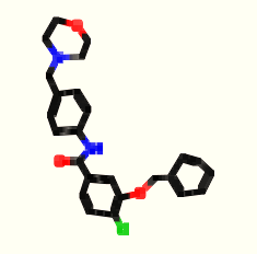 O=C(Nc1ccc(CN2CCOCC2)cc1)c1ccc(Cl)c(OCc2ccccc2)c1